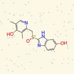 Cc1cnc(C[S@+]([O-])c2nc3ccc(O)cc3[nH]2)c(C)c1O